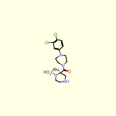 CC(C)(C)[C@]1(C(=O)N2CCN(c3ccc(Cl)c(Cl)c3)CC2)CNCCN1C(=O)O